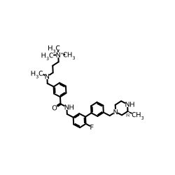 C[C@H]1CN(Cc2cccc(-c3cc(CNC(=O)c4cccc(CN(C)CCC[N+](C)(C)C)c4)ccc3F)c2)CCN1